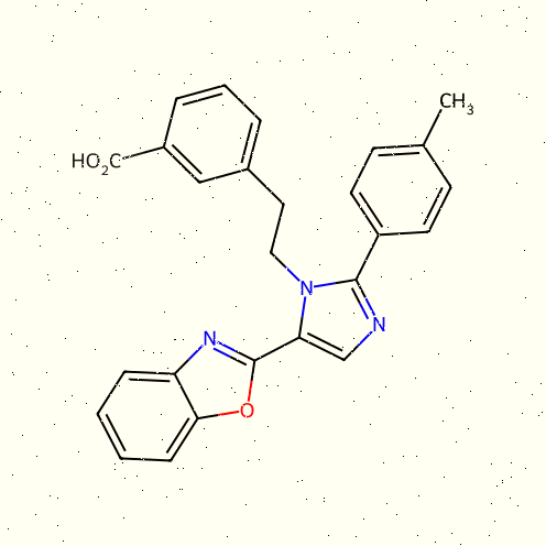 Cc1ccc(-c2ncc(-c3nc4ccccc4o3)n2CCc2cccc(C(=O)O)c2)cc1